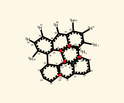 [2H]c1c([2H])c([2H])c2c(-c3cccc4ccccc34)c3c(-c4ccccc4-c4ccccc4)c([2H])c([2H])c([2H])c3c([2H])c2c1[2H]